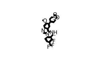 COc1cc2ncnc(N[C@H](C)c3cccc(C(F)F)c3F)c2cc1C1=CCS(=O)(=O)CC1